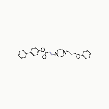 O=C(/C=C/N1CCN(CCCOc2ccccc2)CC1)Oc1ccc(-c2ccccc2)cc1